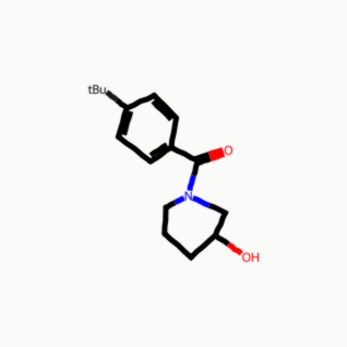 CC(C)(C)c1ccc(C(=O)N2CCCC(O)C2)cc1